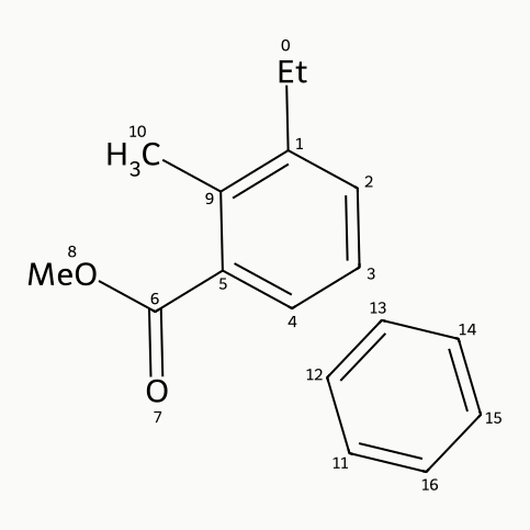 CCc1cccc(C(=O)OC)c1C.c1ccccc1